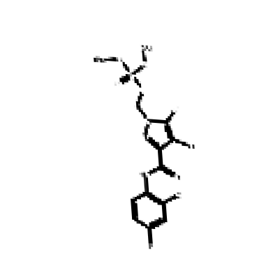 CC(C)(C)OP(=O)(OCn1nc(C(=O)Nc2ccc(F)cc2Cl)c(Cl)c1Cl)OC(C)(C)C